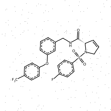 O=C(NCc1cccc(Oc2ccc(C(F)(F)F)cc2)c1)[C@@H]1C=CCN1S(=O)(=O)c1ccc(F)cc1